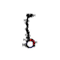 CO[C@H]1C[C@@H]2CC[C@@H](C)[C@@](O)(O2)C(=O)C(=O)N2CCCC[C@H]2C(=O)O[C@H]([C@H](N)C[C@@H]2CC[C@@H](OC(=O)NCc3cnc(N4CCN(C(=O)CCOCCN5CCN(C(=O)CCC(=O)NCCCCn6nc(-c7cnc8[nH]ccc8c7)c7c(N)ncnc76)CC5)CC4)nc3)[C@H](OC)C2)CC(=O)[C@H](C)/C=C(\C)[C@@H](O)[C@@H](O)C(=O)[C@H](C)C[C@H](C)/C=C/C=C/C=C/1C